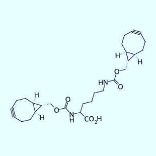 O=C(NCCCCC(NC(=O)OC[C@H]1[C@@H]2CCC#CCC[C@@H]21)C(=O)O)OC[C@H]1[C@@H]2CCC#CCC[C@@H]21